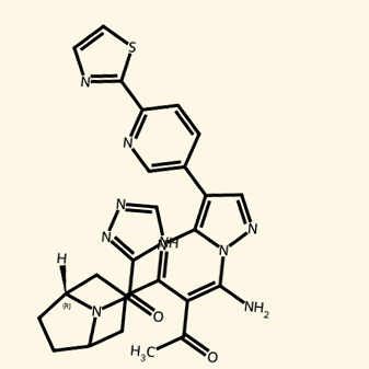 CC(=O)c1c(C2CC3CC[C@H](C2)N3C(=O)c2nnc[nH]2)nc2c(-c3ccc(-c4nccs4)nc3)cnn2c1N